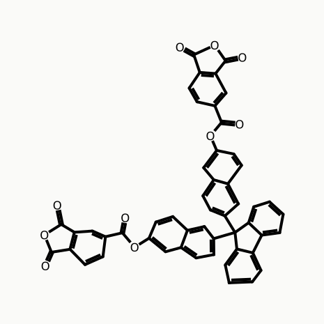 O=C(Oc1ccc2cc(C3(c4ccc5cc(OC(=O)c6ccc7c(c6)C(=O)OC7=O)ccc5c4)c4ccccc4-c4ccccc43)ccc2c1)c1ccc2c(c1)C(=O)OC2=O